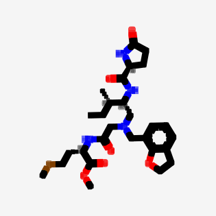 CC[C@H](C)[C@@H](CN(CC(=O)N[C@@H](CCSC)C(=O)OC)Cc1cccc2c1OCC2)NC(=O)[C@@H]1CCC(=O)N1